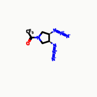 [N-]=[N+]=N[C@H]1CN(C(=O)C(F)(F)F)C[C@H]1N=[N+]=[N-]